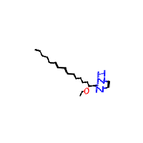 CCCCCCCCCCCCCCC(OCC)C1=NCCN1